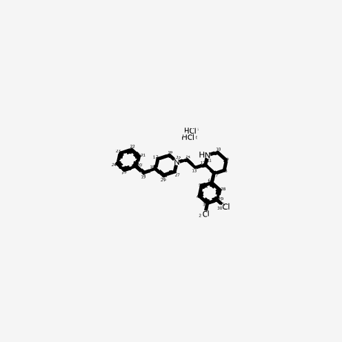 Cl.Cl.Clc1ccc(C2CCCNC2CCN2CCC(Cc3ccccc3)CC2)cc1Cl